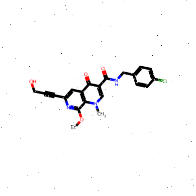 CCOc1nc(C#CCO)cc2c(=O)c(C(=O)NCc3ccc(Cl)cc3)cn(C)c12